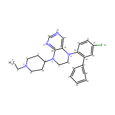 CCN1CCC(N2CCN(c3ccc(F)cc3-c3ccccc3)c3cncnc32)CC1